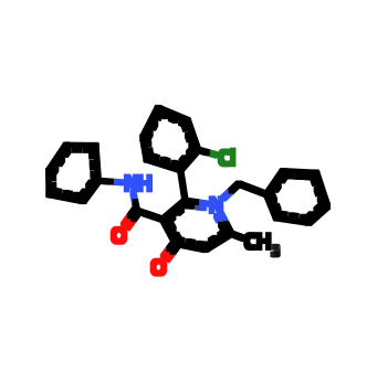 Cc1cc(=O)c(C(=O)Nc2ccccc2)c(-c2ccccc2Cl)n1Cc1ccccc1